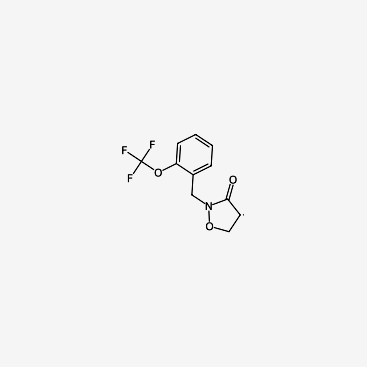 O=C1[CH]CON1Cc1ccccc1OC(F)(F)F